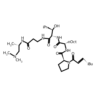 CCCCCCCC[C@H](NC(=O)[C@@H]1CCCN1C(=O)/C=C/[C@@H](C)CC)C(=O)N[C@H](C(=O)NCCC(=O)N[C@@H](C)CN(C)C)[C@H](O)C(C)C